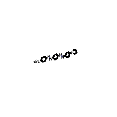 CCCCc1ccc(/N=N/c2ccc(/N=N/c3ccc(N4CCCC4)cc3)cc2)cc1